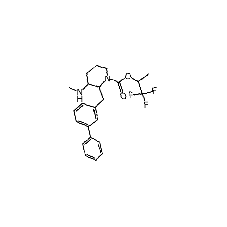 CNC1CCCN(C(=O)OC(C)C(F)(F)F)C1Cc1cccc(-c2ccccc2)c1